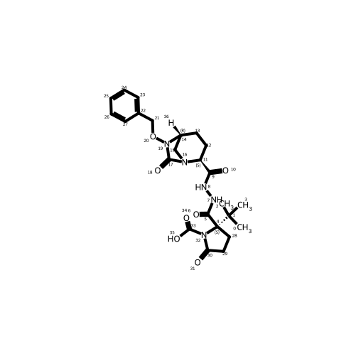 CC(C)(C)[C@]1(C(=O)NNC(=O)[C@@H]2CC[C@@H]3CN2C(=O)N3OCc2ccccc2)CCC(=O)N1C(=O)O